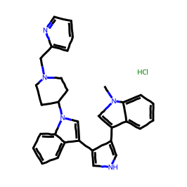 Cl.Cn1cc(-c2c[nH]cc2-c2cn(C3CCN(Cc4ccccn4)CC3)c3ccccc23)c2ccccc21